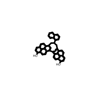 Oc1ccc2ccc3c4cc(c5ccc1c2c35)-c1cc(c2ccc3ccc(O)c5ccc1c2c35)CC(c1cccc2ccccc12)C4